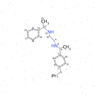 CC(C)Cc1ccc(C(C)NCCNC(C)c2ccccc2)cc1